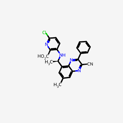 Cc1cc([C@@H](C)Nc2ccc(Cl)nc2C(=O)O)c2nc(-c3ccccc3)c(C#N)nc2c1